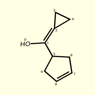 OC(=C1CC1)C1CC=CC1